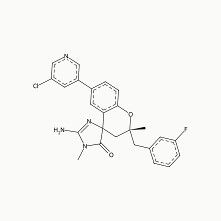 CN1C(=O)C2(C[C@@](C)(Cc3cccc(F)c3)Oc3ccc(-c4cncc(Cl)c4)cc32)N=C1N